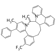 C=C1C2C(CCc3ccc(C(F)(F)F)cc3-c3cc(-c4ccccc4)c(C)c[n+]31)c1ccccc1-c1cccc[n+]12